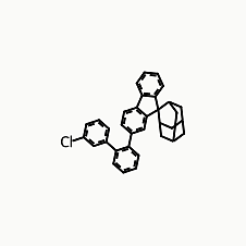 Clc1cccc(-c2ccccc2-c2ccc3c(c2)C2(c4ccccc4-3)C3CC4CC(C3)CC2C4)c1